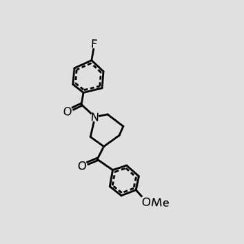 COc1ccc(C(=O)C2CCCN(C(=O)c3ccc(F)cc3)C2)cc1